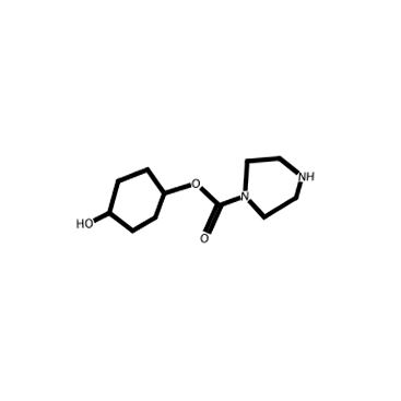 O=C(OC1CCC(O)CC1)N1CCNCC1